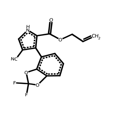 C=CCOC(=O)c1[nH]cc(C#N)c1-c1cccc2c1OC(F)(F)O2